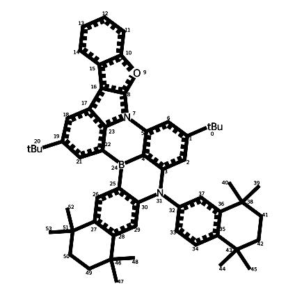 CC(C)(C)c1cc2c3c(c1)-n1c4oc5ccccc5c4c4cc(C(C)(C)C)cc(c41)B3c1cc3c(cc1N2c1ccc2c(c1)C(C)(C)CCC2(C)C)C(C)(C)CCC3(C)C